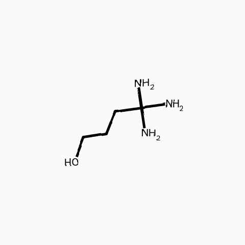 NC(N)(N)CCCO